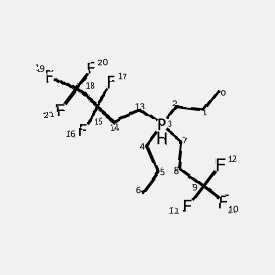 CCC[PH](CCC)(CCC(F)(F)F)CCC(F)(F)C(F)(F)F